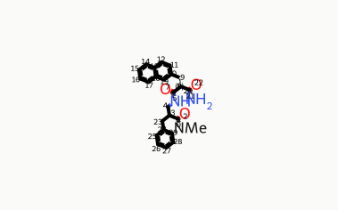 CNC(=O)C(CNC(=O)[C@H](Cc1ccc2ccccc2c1)C(N)=O)Cc1ccccc1